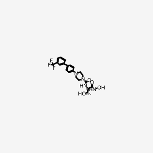 C[C@H](O)[C@@H](NC(=O)N1CCN(c2ccc(-c3cccc(C(F)(F)F)c3)cc2)CC1)C(=O)NO